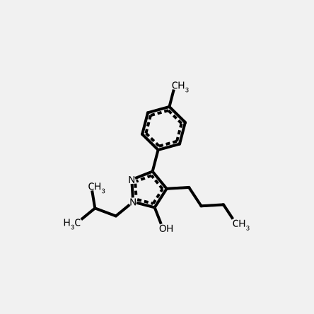 CCCCc1c(-c2ccc(C)cc2)nn(CC(C)C)c1O